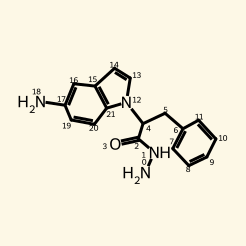 NNC(=O)C(Cc1ccccc1)n1ccc2cc(N)ccc21